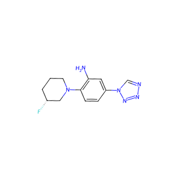 Nc1cc(-n2cnnn2)ccc1N1CCC[C@@H](F)C1